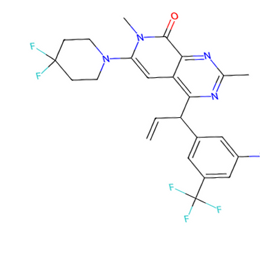 C=CC(c1cc(N)cc(C(F)(F)F)c1)c1nc(C)nc2c(=O)n(C)c(N3CCC(F)(F)CC3)cc12